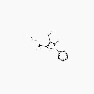 CCOC(=O)c1nn(-c2ccccc2)c(Br)c1CS